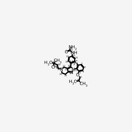 Cc1cccc(OCC(C)C)c1-n1nc2c(c1-c1ccc(NC(N)=O)cc1)CN(CCC(C)(C)C)CC2